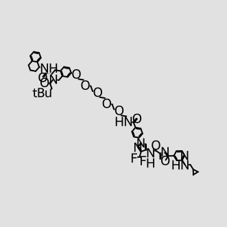 CC(C)(C)CC(=O)N1Cc2cc(OCCOCCOCCOCCOCCNC(=O)c3ccc(-n4cc(NC(=O)c5coc(-c6ccnc(NCC7CC7)c6)n5)c(C(F)F)n4)cc3)ccc2C[C@H]1C(=O)N[C@@H]1CCCc2ccccc21